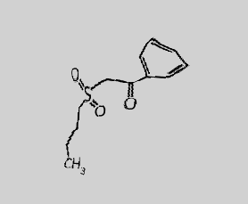 CCCCS(=O)(=O)CC(=O)c1ccccc1